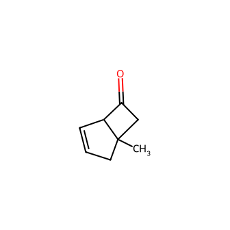 CC12CC=CC1C(=O)C2